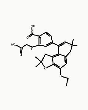 CCOc1cc2c(c3c1OC(C)(C)C3)C(c1ccc(C(=O)O)c(NCC(=O)O)c1)=NC(C)(C)C2